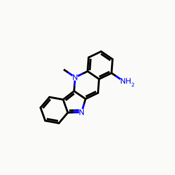 Cn1c2c3ccccc3nc-2cc2c(N)cccc21